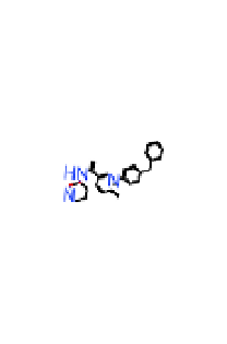 C=C/C=C\C(=C/N(C)c1ccc(Cc2ccccc2)cc1)C(=C)NC1CN2CCC1CC2